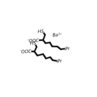 CC(C)CCCCCC(CS)C(=O)[O-].CC(C)CCCCCC(CS)C(=O)[O-].[Ba+2]